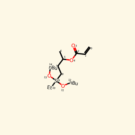 C=CC(=O)OC(C)CC[Si](CC)(OCCCC)OCCCC